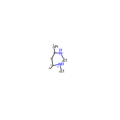 CCCC(CC(C)NCC)NCC